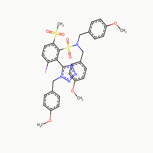 COc1ccc(CN(Cc2ccc(OC)cc2)S(=O)(=O)c2c(S(C)(=O)=O)ccc(I)c2-c2nnnn2Cc2ccc(OC)cc2)cc1